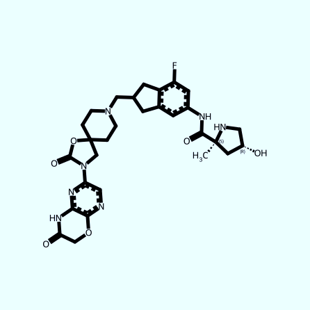 C[C@@]1(C(=O)Nc2cc(F)c3c(c2)CC(CN2CCC4(CC2)CN(c2cnc5c(n2)NC(=O)CO5)C(=O)O4)C3)C[C@@H](O)CN1